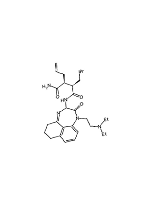 C=CC[C@H](C(N)=O)[C@@H](CC(C)C)C(=O)NC1N=C2CCCc3cccc(c32)N(CCN(CC)CC)C1=O